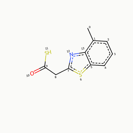 Cc1cccc2sc(CC(=O)S)nc12